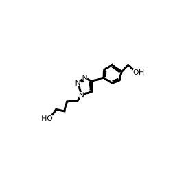 OCCCCn1cc(-c2ccc(CO)cc2)nn1